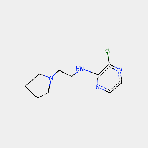 Clc1nccnc1NCCN1CCCC1